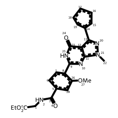 CCOC(=O)CNC(=O)c1ccc(-c2nc3c(c(-c4ccccc4)nn3C)c(=O)[nH]2)c(OC)c1